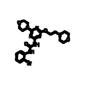 O=C(Nc1cc(OCCN2CCOCC2)nc(N2CCOCC2)n1)Nc1ccccc1Br